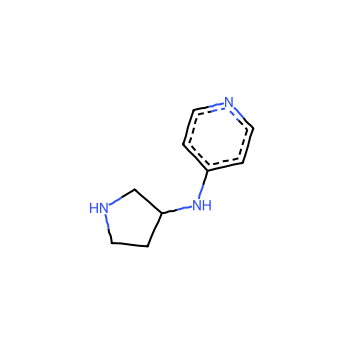 c1cc(NC2CCNC2)ccn1